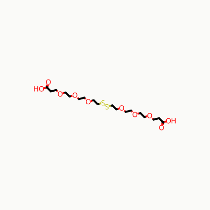 O=C(O)CCOCCOCCOCCSSCCOCCOCCOCCC(=O)O